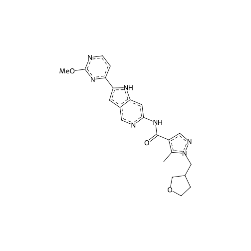 COc1nccc(-c2cc3cnc(NC(=O)c4cnn(CC5CCOC5)c4C)cc3[nH]2)n1